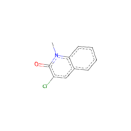 Cn1c(=O)c(Cl)cc2ccccc21